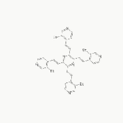 CCc1cnccc1C=Cc1nc(C=Cc2ccncc2CC)c(C=Cc2ccncc2CC)nc1C=Cc1ccncc1CC